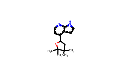 CC1(C)CC(c2ccnc3[nH]ccc23)OC1(C)C